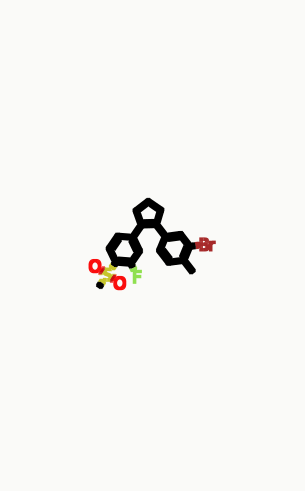 Cc1ccc(C2=C(c3ccc(S(C)(=O)=O)c(F)c3)CCC2)cc1Br